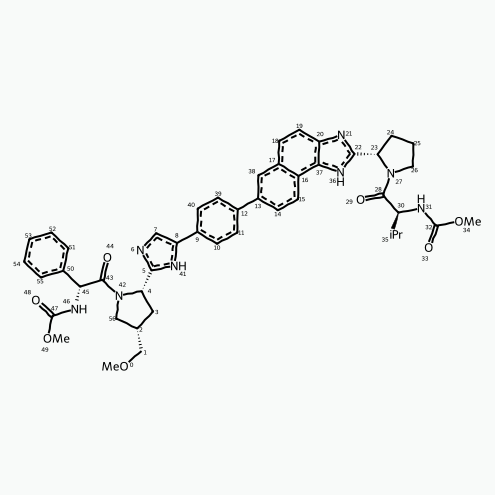 COC[C@H]1C[C@@H](c2ncc(-c3ccc(-c4ccc5c(ccc6nc([C@@H]7CCCN7C(=O)[C@@H](NC(=O)OC)C(C)C)[nH]c65)c4)cc3)[nH]2)N(C(=O)[C@H](NC(=O)OC)c2ccccc2)C1